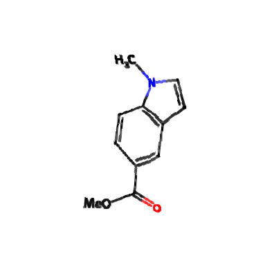 COC(=O)c1ccc2c(ccn2C)c1